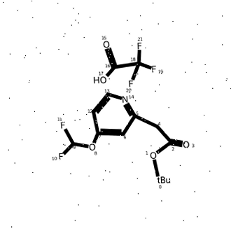 CC(C)(C)OC(=O)Cc1cc(OC(F)F)ccn1.O=C(O)C(F)(F)F